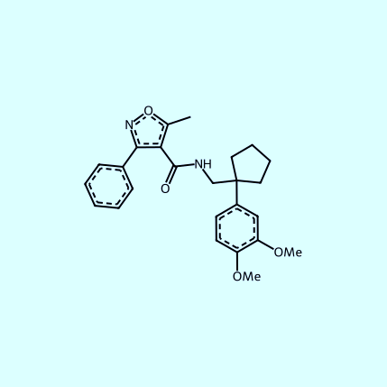 COc1ccc(C2(CNC(=O)c3c(-c4ccccc4)noc3C)CCCC2)cc1OC